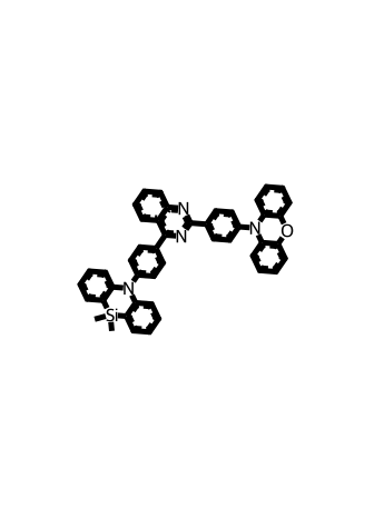 C[Si]1(C)c2ccccc2N(c2ccc(-c3nc(-c4ccc(N5c6ccccc6Oc6ccccc65)cc4)nc4ccccc34)cc2)c2ccccc21